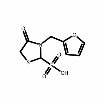 O=C1CSC(S(=O)(=O)O)N1Cc1ccco1